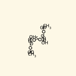 COC(=O)c1ccc(COC(=O)c2ccc(Sc3ccc(C(=O)O)c(C(=O)OCc4ccc(C(=O)OC)cc4)c3)cc2C(=O)O)cc1